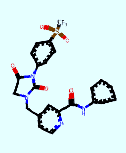 O=C(Nc1ccccc1)c1cc(CN2CC(=O)N(c3ccc(S(=O)(=O)C(F)(F)F)cc3)C2=O)ccn1